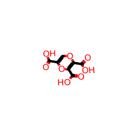 O=C(O)C1=COC(C(=O)O)=C(C(=O)O)O1